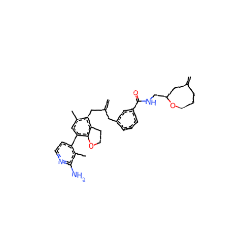 C=C(Cc1cccc(C(=O)NCC2CC(=C)CCCO2)c1)Cc1c(C)cc(-c2ccnc(N)c2C)c2c1CCO2